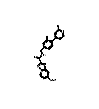 COc1ccn2nc(C(=O)NCc3ccc(-c4ccnc(C)c4)c(C)c3)nc2c1